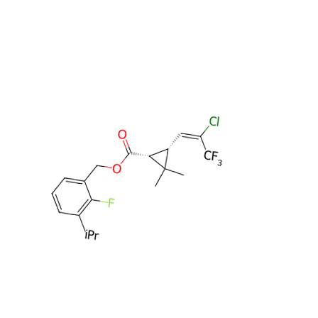 CC(C)c1cccc(COC(=O)[C@@H]2[C@H](/C=C(/Cl)C(F)(F)F)C2(C)C)c1F